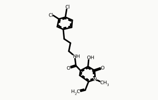 C=Cc1cc(C(=O)NCCCc2ccc(Cl)c(Cl)c2)c(O)c(=O)n1C